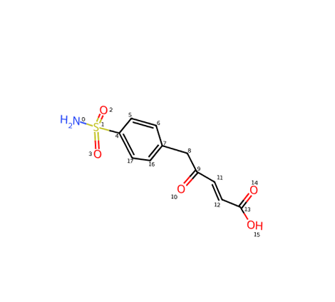 NS(=O)(=O)c1ccc(CC(=O)C=CC(=O)O)cc1